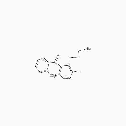 CCC(C)CCCc1c(C)cccc1C(=O)c1ccccc1C(=O)O